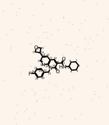 O=C(NC1CCCCC1)c1cc2cc(C3COC3)cnc2n(Cc2ccc(F)cc2)c1=O